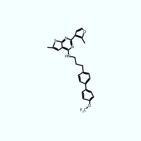 Cc1cc2c(NCCCc3ccc(-c4ccc(OC(F)(F)F)cc4)cc3)nc(-c3ccoc3C)nc2s1